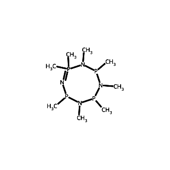 CN1P(C)N=P(C)(C)N(C)P(C)N(C)P1C